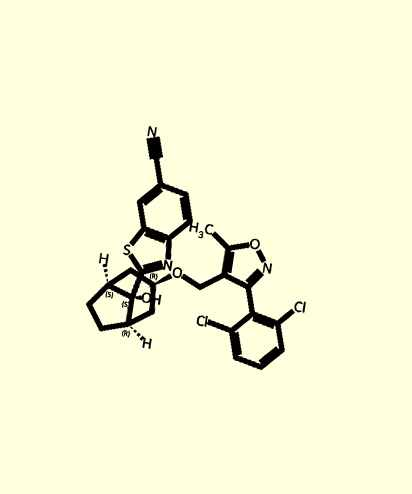 Cc1onc(-c2c(Cl)cccc2Cl)c1CO[C@H]1C[C@H]2CC[C@@H](C1)[C@@]2(O)c1nc2ccc(C#N)cc2s1